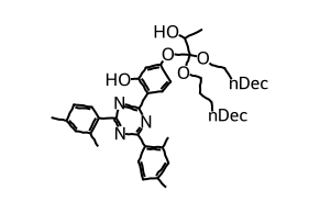 CCCCCCCCCCCCCOC(OCCCCCCCCCCCC)(Oc1ccc(-c2nc(-c3ccc(C)cc3C)nc(-c3ccc(C)cc3C)n2)c(O)c1)C(C)O